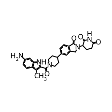 Cc1c(C(=O)N2CCC(c3ccc4c(c3)CN(C3CCC(=O)NC3=O)C4=O)CC2)[nH]c2cc(N)ccc12